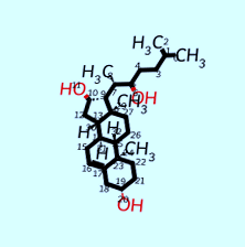 CC(C)CCC(O)[C@@H](C)[C@H]1C(O)C[C@H]2[C@@H]3CC=C4C[C@@H](O)CC[C@]4(C)[C@H]3CC[C@]12C